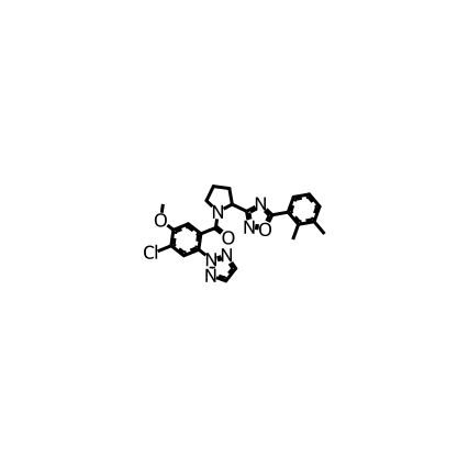 COc1cc(C(=O)N2CCCC2c2noc(-c3cccc(C)c3C)n2)c(-n2nccn2)cc1Cl